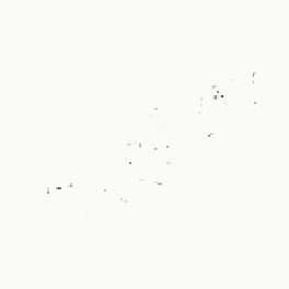 CO[C@H]1C[C@H](Nc2ncc3c(-c4ccc5nccn5c4)ccn3n2)C1